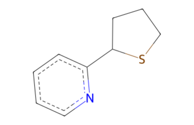 c1ccc(C2CCCS2)nc1